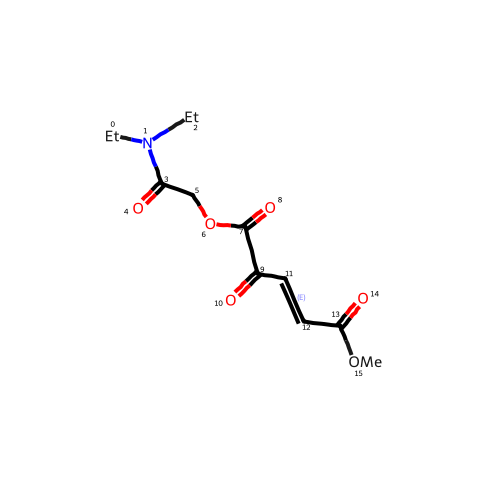 CCN(CC)C(=O)COC(=O)C(=O)/C=C/C(=O)OC